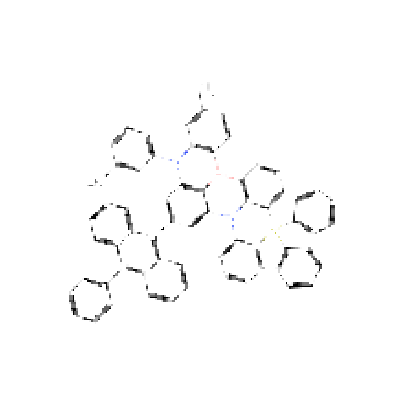 Cc1ccc2c(c1)N(c1cccc(C(C)(C)C)c1)c1cc(-c3c4ccccc4c(-c4ccccc4)c4ccccc34)cc3c1B2c1cccc2c1N3c1ccccc1S2(c1ccccc1)c1ccccc1